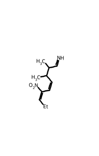 CC/C=C(\C=C/C(C)C(C)C=N)[N+](=O)[O-]